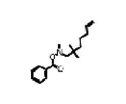 C=CCCCC(C)(C)CN(C)OC(=O)c1ccccc1